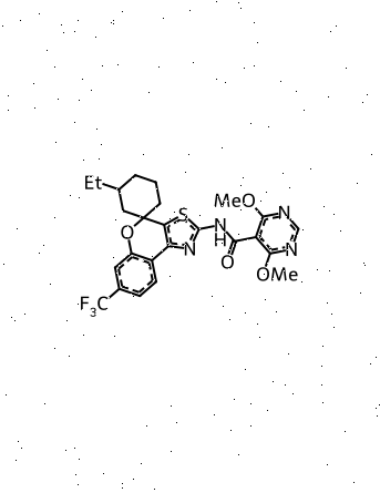 CCC1CCCC2(C1)Oc1cc(C(F)(F)F)ccc1-c1nc(NC(=O)c3c(OC)ncnc3OC)sc12